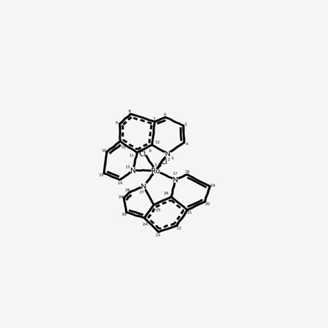 [Cl][Ru]12([Cl])([N]3C=CC=c4ccc5c(c43)[N]1C=CC=5)[N]1C=CC=c3ccc4c(c31)[N]2C=CC=4